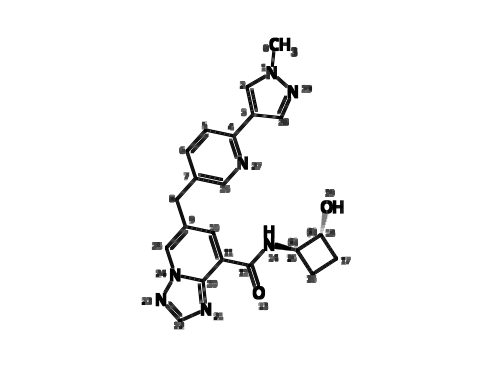 Cn1cc(-c2ccc(Cc3cc(C(=O)N[C@@H]4CC[C@H]4O)c4ncnn4c3)cn2)cn1